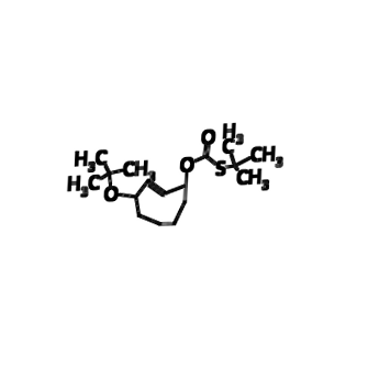 CC(C)(C)OC1/C=C/C(OC(=O)SC(C)(C)C)CCCC1